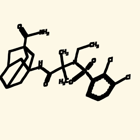 CCN(C(C)(C)C(=O)NC12CC3CC(C1)CC(C(N)=O)(C3)C2)S(=O)(=O)c1cccc(Cl)c1Cl